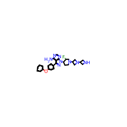 Nc1ncnc2c1c(-c1ccc(Oc3ccccc3)cc1)nn2[C@@H]1CCN(C2CN(C3CNC3)C2)C[C@@H]1F